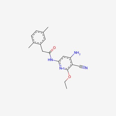 CCOc1nc(NC(=O)Cc2cc(C)ccc2C)cc(N)c1C#N